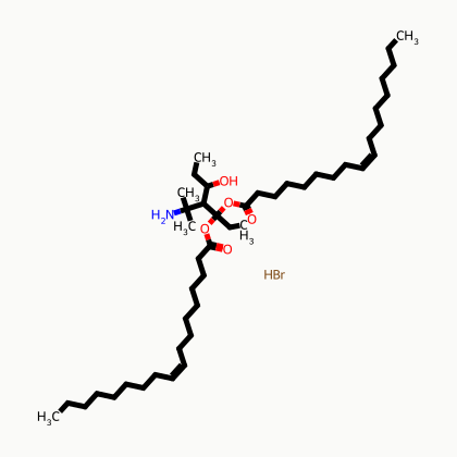 Br.CCCCCCCC/C=C\CCCCCCCC(=O)OC(CC)(OC(=O)CCCCCCC/C=C\CCCCCCCC)C(C(O)CC)C(C)(C)N